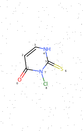 O=c1cc[nH]c(=S)n1Cl